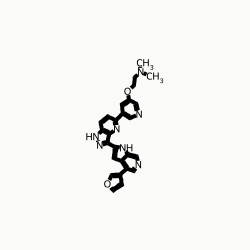 CN(C)CCOc1cncc(-c2ccc3[nH]nc(-c4cc5c(-c6ccoc6)cncc5[nH]4)c3n2)c1